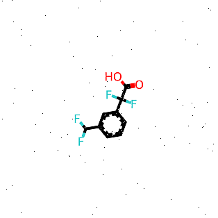 O=C(O)C(F)(F)c1cccc(C(F)F)c1